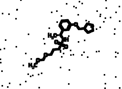 COCOCCCS(=O)(=O)N[C@H](C)c1cccc(OCC2CCCC2)c1